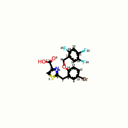 O=C(O)c1csc(Cc2cc(Br)ccc2OCc2cc(F)c(F)cc2F)n1